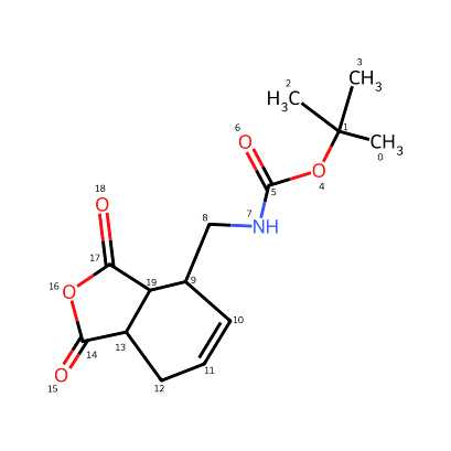 CC(C)(C)OC(=O)NCC1C=CCC2C(=O)OC(=O)C12